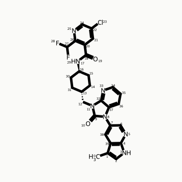 Cc1c[nH]c2ncc(-n3c(=O)n(C[C@H]4CC[C@H](NC(=O)c5cc(Cl)cnc5C(F)F)CC4)c4ncccc43)cc12